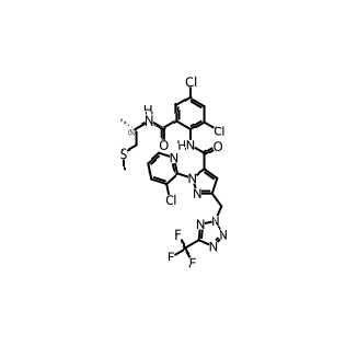 CSC[C@H](C)NC(=O)c1cc(Cl)cc(Cl)c1NC(=O)c1cc(Cn2nnc(C(F)(F)F)n2)nn1-c1ncccc1Cl